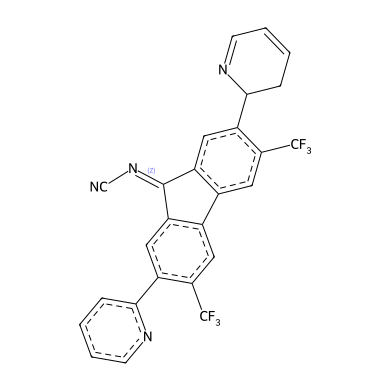 N#C/N=C1\c2cc(-c3ccccn3)c(C(F)(F)F)cc2-c2cc(C(F)(F)F)c(C3CC=CC=N3)cc21